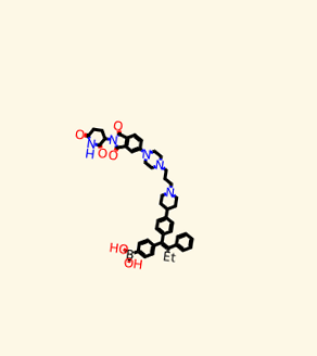 CC/C(=C(\c1ccc(B(O)O)cc1)c1ccc(C2CCN(CCCN3CCN(c4ccc5c(c4)C(=O)N(C4CCC(=O)NC4=O)C5=O)CC3)CC2)cc1)c1ccccc1